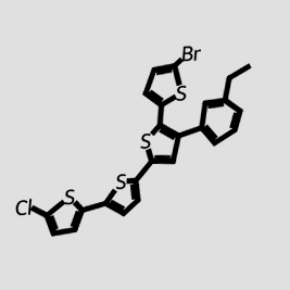 CCc1cccc(-c2cc(-c3ccc(-c4ccc(Cl)s4)s3)sc2-c2ccc(Br)s2)c1